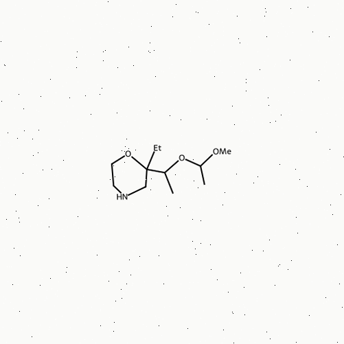 CCC1(C(C)OC(C)OC)CNCCO1